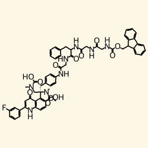 COc1ccc2[nH]c(-c3cccc(F)c3)cc(=O)c2c1[C@@](Cc1ccc(NC(=O)CNC(=O)C(Cc2ccccc2)NC(=O)CNC(=O)CNC(=O)OCC2c3ccccc3-c3ccccc32)cc1)(CN(C)C(=O)O)N(C)C(=O)O